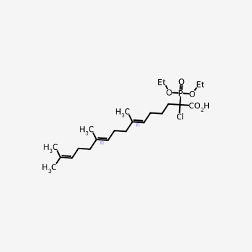 CCOP(=O)(OCC)C(Cl)(CCC/C=C(\C)CC/C=C(\C)CCC=C(C)C)C(=O)O